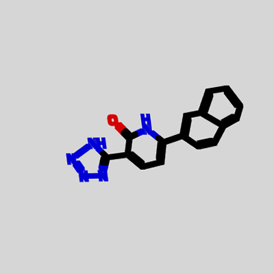 O=c1[nH]c(-c2ccc3ccccc3c2)ccc1-c1nnn[nH]1